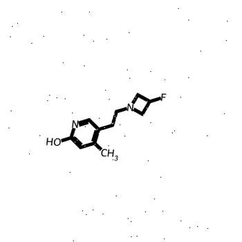 Cc1cc(O)ncc1CCN1CC(F)C1